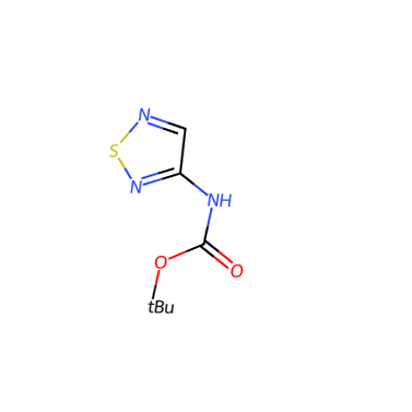 CC(C)(C)OC(=O)Nc1cnsn1